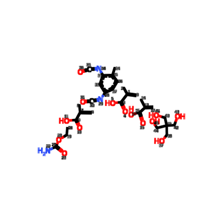 C=C(C)C(=O)O.C=C(C)C(=O)O.C=C(C)C(=O)O.CCOC(N)=O.Cc1ccc(N=C=O)cc1N=C=O.OCC(CO)(CO)CO